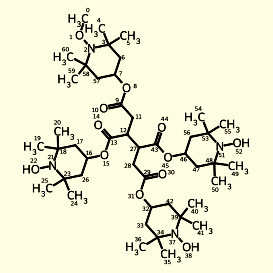 CON1C(C)(C)CC(OC(=O)CC(C(=O)OC2CC(C)(C)N(O)C(C)(C)C2)C(CC(=O)OC2CC(C)(C)N(O)C(C)(C)C2)C(=O)OC2CC(C)(C)N(O)C(C)(C)C2)CC1(C)C